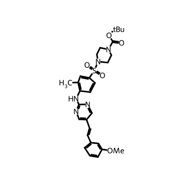 COc1cccc(C=Cc2cnc(Nc3ccc(S(=O)(=O)N4CCN(C(=O)OC(C)(C)C)CC4)cc3C)nc2)c1